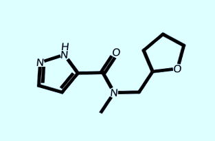 CN(CC1CCCO1)C(=O)c1ccn[nH]1